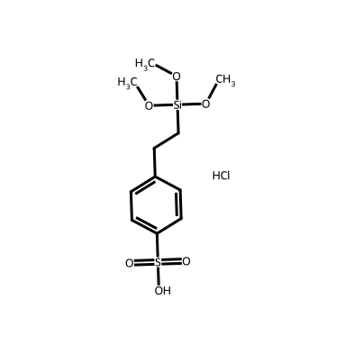 CO[Si](CCc1ccc(S(=O)(=O)O)cc1)(OC)OC.Cl